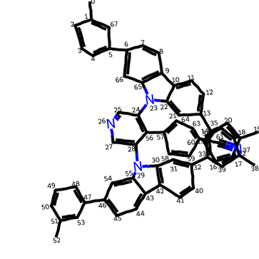 Cc1cccc(-c2ccc3c4ccc(-c5cccc(C)c5)cc4n(-c4cncc(-n5c6cc(-c7cccc(C)c7)ccc6c6ccc(-c7cccc(C)c7)cc65)c4-c4ccc(C#N)cc4)c3c2)c1